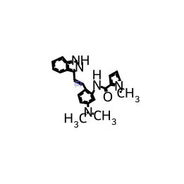 CN(C)c1ccc(/C=C/c2n[nH]c3ccccc23)c(NC(=O)c2cccn2C)c1